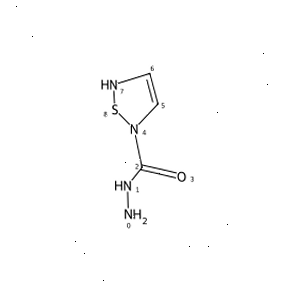 NNC(=O)N1C=CNS1